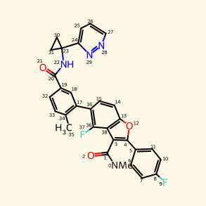 CNC(=O)c1c(-c2ccc(F)cc2)oc2ccc(-c3cc(C(=O)NC4(c5cccnn5)CC4)ccc3C)c(F)c12